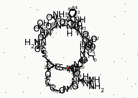 CCCC[C@@H]1NC(=O)[C@@H]2CCCN2C(=O)[C@@H]2CSCc3cc(cc(c3)OCCCCCCO/N=C/C(=O)N[C@@H](CCCNC(=N)N)C(=O)N2)CSC[C@@H](C(N)=O)NC(=O)[C@H](CCC(=O)O)NC(=O)[C@H](CCC(N)=O)NC(=O)[C@H](Cc2c[nH]c3ccccc23)NC(=O)[C@H]([C@@H](C)CC)NC(=O)[C@H](CC(=O)OOC)NC1=O